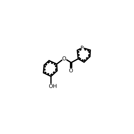 O=C(Oc1cccc(O)c1)c1cccpc1